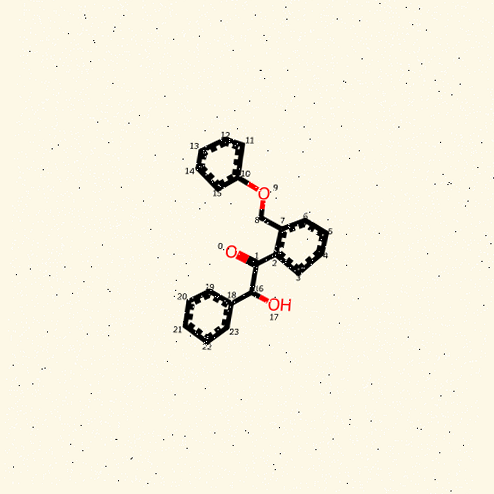 O=C(c1ccccc1COc1ccccc1)C(O)c1ccccc1